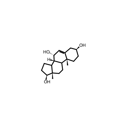 C[C@]12CC[C@H](O)CC1=C[C@@H](O)[C@@H]1C2CC[C@@]2(C)C1CC[C@@H]2O